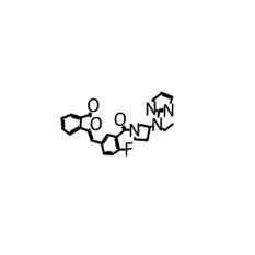 CCN(c1ncccn1)[C@H]1CCN(C(=O)c2cc(C=C3OC(=O)c4ccccc43)ccc2F)C1